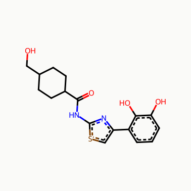 O=C(Nc1nc(-c2cccc(O)c2O)cs1)C1CCC(CO)CC1